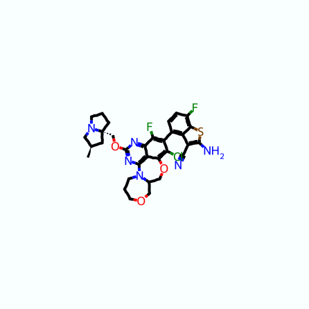 C[C@H]1CN2CCC[C@@]2(COc2nc3c4c(c(Cl)c(-c5ccc(F)c6sc(N)c(C#N)c56)c(F)c4n2)OCC2COCCCN32)C1